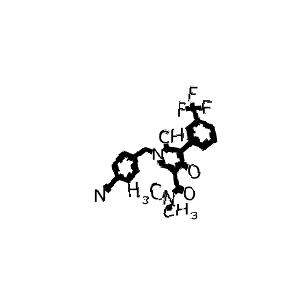 Cc1c(-c2cccc(C(F)(F)F)c2)c(=O)c(C(=O)N(C)C)cn1Cc1ccc(C#N)cc1